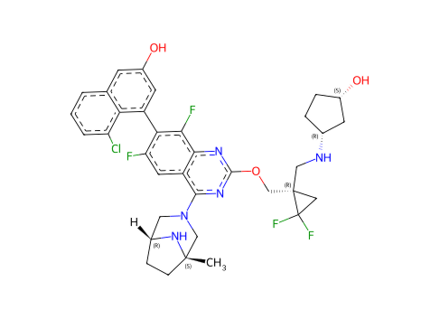 C[C@]12CC[C@H](CN(c3nc(OC[C@]4(CN[C@@H]5CC[C@H](O)C5)CC4(F)F)nc4c(F)c(-c5cc(O)cc6cccc(Cl)c56)c(F)cc34)C1)N2